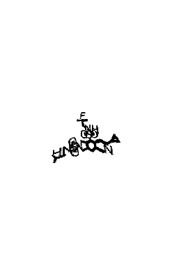 CC(C)CNS(=O)(=O)N1Cc2cc3cnc(C4CC4)cc3c(S(=O)(=O)NCC(C)(C)F)c2C1